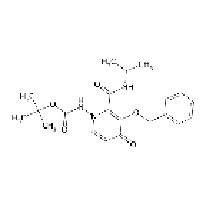 CC(C)NC(=O)c1c(OCc2ccccc2)c(=O)ccn1NC(=O)OC(C)(C)C